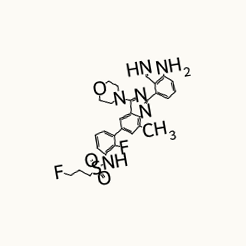 Cc1cc(-c2cccc(NS(=O)(=O)CCCF)c2F)cc2c(N3CCOCC3)nc(-c3cccc(N)c3C=N)nc12